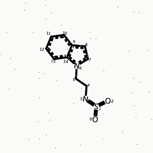 O=S(=O)=NCCn1ccc2ccccc21